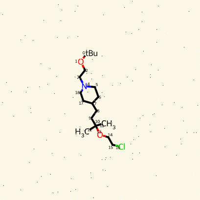 CC(C)(C)OCCN1CCC(CCC(C)(C)OCCCl)CC1